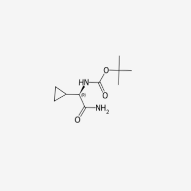 CC(C)(C)OC(=O)N[C@@H](C(N)=O)C1CC1